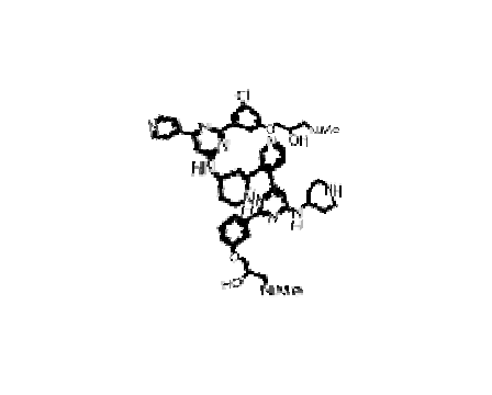 CNCC(O)COc1cc(Cl)cc(-c2nc(NC3CCNC(c4cnccc4-c4cc(NC5CCNCC5)nc(-c5cccc(OCC(O)CNC)c5)n4)C3)cc(-c3ccncc3)n2)c1